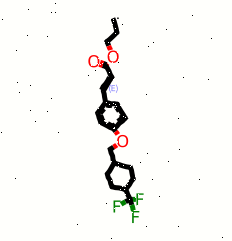 [CH2]CCOC(=O)/C=C/c1ccc(OCC2CCC(C(F)(F)F)CC2)cc1